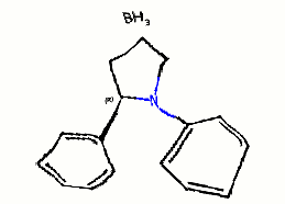 B.c1ccc([C@H]2CCCN2c2ccccc2)cc1